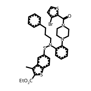 CCOC(=O)c1sc2ccc(SN(CCCc3ccccc3)c3ccccc3N3CCN(C(=O)c4sccc4Br)CC3)cc2c1C